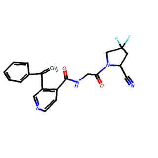 C=C(c1ccccc1)c1cnccc1C(=O)NCC(=O)N1CC(F)(F)CC1C#N